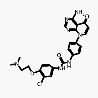 CN(C)CCOc1ccc(NC(=O)Nc2ccc(-n3ccc(=O)c4c(N)ncnc43)cc2)cc1Cl